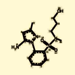 Cc1cc(N)n(-c2ccccc2S(=O)(=O)N(C)CCCO)n1